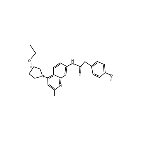 CCO[C@H]1CCN(c2cc(C)nc3cc(NC(=O)Cc4ccc(OC)cc4)ccc23)C1